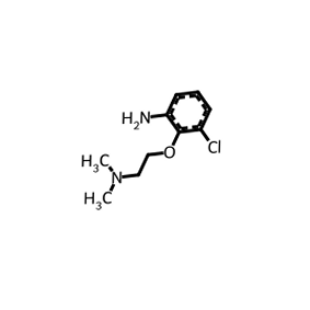 CN(C)CCOc1c(N)cccc1Cl